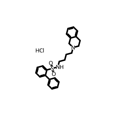 Cl.O=S(=O)(NCCCCN1CCc2ccccc2C1)c1ccccc1-c1ccccc1